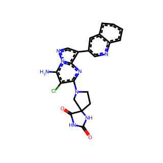 Nc1c(Cl)c(N2CCC3(C2)NC(=O)NC3=O)nc2c(-c3cnc4ccccc4c3)cnn12